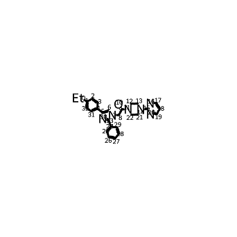 CCc1ccc(-c2cn(CC(=O)N3CCN(c4ncccn4)CC3)c(-c3ccccc3)n2)cc1